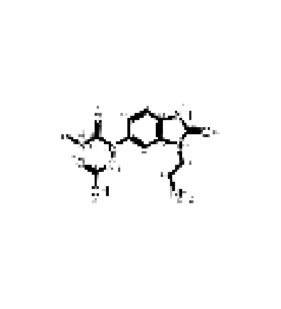 CNC(=O)N(OC(=O)O)c1ccc2[nH]c(=O)n(CCN)c2c1